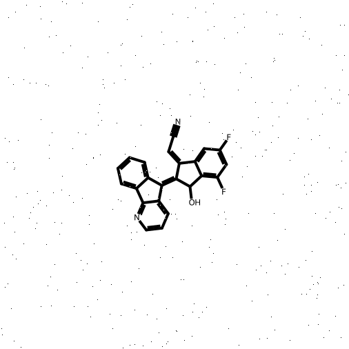 N#C/C=C1/C(=C2\c3ccccc3-c3ncccc32)C(O)c2c(F)cc(F)cc21